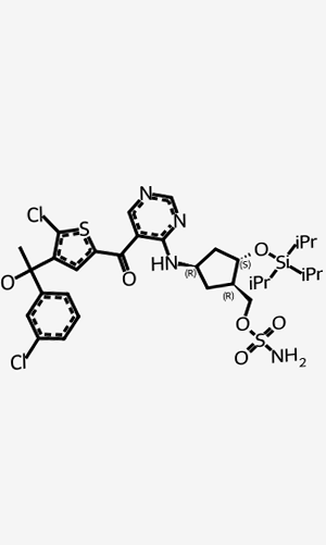 CC(C)[Si](O[C@H]1C[C@H](Nc2ncncc2C(=O)c2cc(C(C)(O)c3cccc(Cl)c3)c(Cl)s2)C[C@@H]1COS(N)(=O)=O)(C(C)C)C(C)C